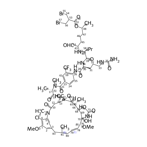 COc1cc2cc(c1Cl)N(C)C(=O)C[C@H](OC(=O)[C@H](C)N(C)C(=O)c1ccc(NC(=O)[C@H](CCCNC(N)=O)NC(=O)[C@@H](NC(C=O)CCCC(C)OC(=O)C(CBr)CBr)C(C)C)c(C(F)(F)F)c1)[C@]1(C)O[C@H]1[C@H](C)[C@@H]1C[C@@](O)(NC(=O)O1)[C@H](OC)/C=C/C=C(\C)C2